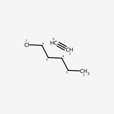 C#C.CCCCCCl